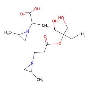 CC1CN1C(C)C(=O)O.CCC(CO)(CO)OC(=O)CCN1CC1C